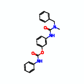 CN(Cc1ccccc1)C(=O)Nc1cccc(OC(=O)Nc2ccccc2)c1